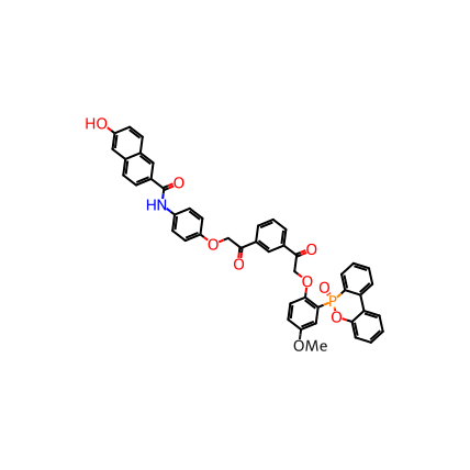 COc1ccc(OCC(=O)c2cccc(C(=O)COc3ccc(NC(=O)c4ccc5cc(O)ccc5c4)cc3)c2)c(P2(=O)Oc3ccccc3-c3ccccc32)c1